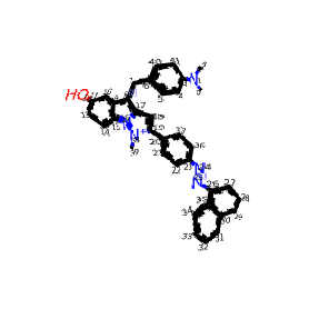 CN(C)c1ccc(/C=c2/c3cc(O)ccc3n3c2cc(-c2ccc(/N=N/c4cccc5ccccc45)cc2)[n+]3C)cc1